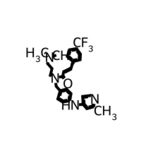 Cc1cc(Nc2ccc(CN(CCCN(C)C)C(=O)C=Cc3ccc(C(F)(F)F)cc3)cc2)ccn1